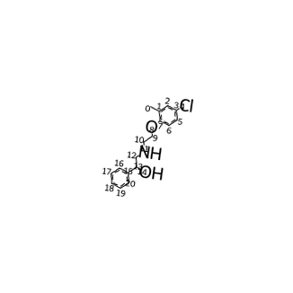 Cc1cc(Cl)ccc1OCCNC[C@@H](O)c1ccccc1